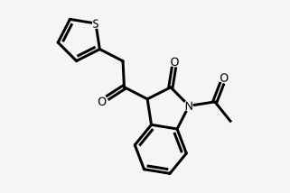 CC(=O)N1C(=O)C(C(=O)Cc2cccs2)c2ccccc21